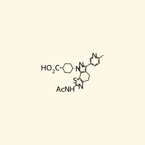 CC(=O)Nc1nc2c(s1)-c1c(c(-c3ccc(C)nc3)nn1[C@H]1CC[C@H](C(=O)O)CC1)CC2